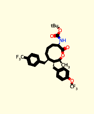 C[C@@H]1OC(=O)[C@@H](NC(=O)OC(C)(C)C)CCC[C@H](Cc2ccc(C(F)(F)F)cc2)[C@H]1Cc1ccc(OC(F)(F)F)cc1